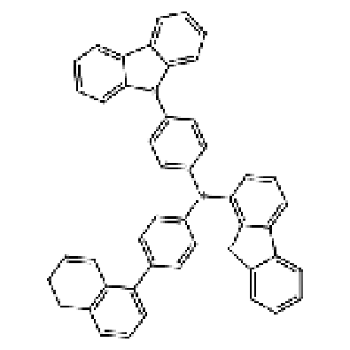 C1=Cc2c(cccc2-c2ccc(N(c3ccc(-n4c5ccccc5c5ccccc54)cc3)c3cccc4c3sc3ccccc34)cc2)CC1